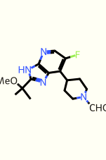 COC(C)(C)c1nc2c(C3CCN(C=O)CC3)c(F)cnc2[nH]1